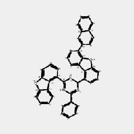 c1ccc(C2=NC(c3cccc4oc5c(-c6ccc7ccccc7c6)cccc5c34)NC(c3cccc4oc5ccccc5c34)=N2)cc1